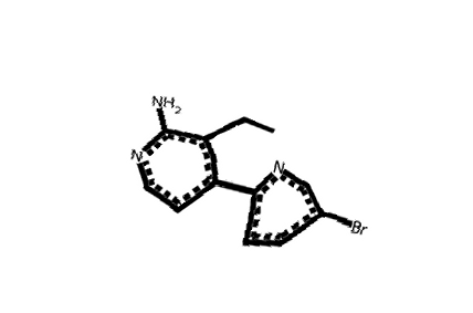 CCc1c(-c2ccc(Br)cn2)ccnc1N